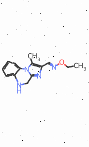 CCON=Cc1nc2n(c1C)-c1ccccc1NC2